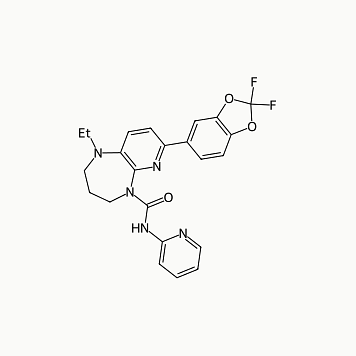 CCN1CCCN(C(=O)Nc2ccccn2)c2nc(-c3ccc4c(c3)OC(F)(F)O4)ccc21